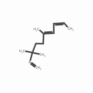 C=NC(C)(C)CC/C(C)=C/C=C\C